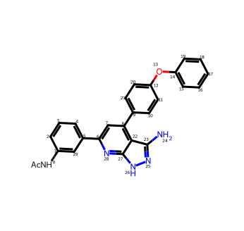 CC(=O)Nc1cccc(-c2cc(-c3ccc(Oc4ccccc4)cc3)c3c(N)n[nH]c3n2)c1